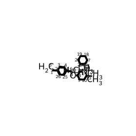 C=Cc1ccc(COC2CCC(C)(C)N(OC3CCCCC3)C2(C)C)cc1